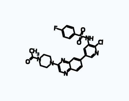 CC(=O)N1CCN(c2cnc3ccc(-c4cnc(Cl)c(NS(=O)(=O)c5ccc(F)cc5)c4)cc3n2)CC1